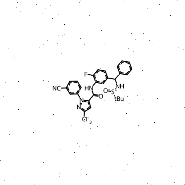 CC(C)(C)[S@@+]([O-])N[C@H](c1ccccc1)c1ccc(F)c(NC(=O)c2cc(C(F)(F)F)nn2-c2cccc(C#N)c2)c1